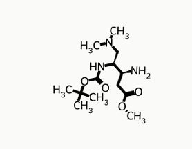 COC(=O)C[C@H](N)[C@H](CN(C)C)NC(=O)OC(C)(C)C